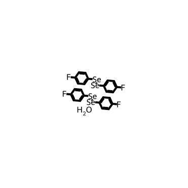 Fc1ccc([Se][Se]c2ccc(F)cc2)cc1.Fc1ccc([Se][Se]c2ccc(F)cc2)cc1.O